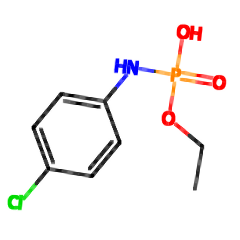 CCOP(=O)(O)Nc1ccc(Cl)cc1